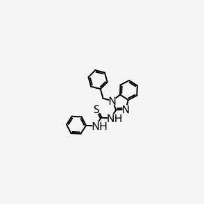 S=C(Nc1ccccc1)Nc1nc2ccccc2n1Cc1ccccc1